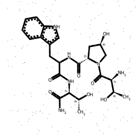 C[C@@H](O)[C@H](N)C(=O)N1C[C@H](O)C[C@H]1C(=O)NC(Cc1c[nH]c2ccccc12)C(=O)N[C@H](C(N)=O)[C@@H](C)O